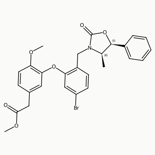 COC(=O)Cc1ccc(OC)c(Oc2cc(Br)ccc2CN2C(=O)O[C@@H](c3ccccc3)[C@H]2C)c1